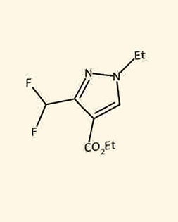 CCOC(=O)c1cn(CC)nc1C(F)F